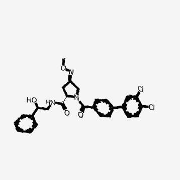 CO/N=C1\C[C@@H](C(=O)NCC(O)c2ccccc2)N(C(=O)c2ccc(-c3ccc(Cl)c(Cl)c3)cc2)C1